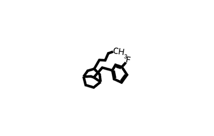 CCCCC1CC2CCC(C1)C(Cc1cccc(F)c1)C2